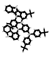 Cc1cc2c3c(c1)-n1c4c(cc(C(C)(C)C)cc4c4oc5ccccc5c41)B3c1ccc(N(c3ccc(C(C)(C)C)cc3)c3ccc(C(C)(C)C)cc3)cc1N2c1cccc2c1[C@]13CC1C=CCC3O2